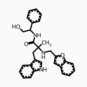 CC(Cc1c[nH]c2ccccc12)(NCc1cc2ccccc2o1)C(=O)NC(CO)c1ccccc1